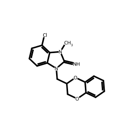 Cn1c(=N)n(CC2COc3ccccc3O2)c2cccc(Cl)c21